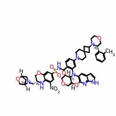 Cc1ccccc1[C@@H]1COCCN1C1CC2(CCN(c3ccc(C(=O)NS(=O)(=O)c4cc5c(c([N+](=O)[O-])c4)N[C@H](CN4C[C@@H]6C[C@H]4CO6)CO5)c(N4c5cc6cc[nH]c6nc5O[C@H]5COCC[C@@H]54)c3)CC2)C1